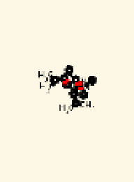 Cc1cc(C)cc(-c2ccc3c(c2)c2ccccc2n3-c2ccccc2-c2cc(-c3nc(-c4ccccc4)nc(-c4ccccc4)n3)ccc2-n2c3ccccc3c3cc(-c4cc(C)cc(C)c4)ccc32)c1